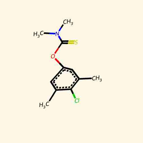 Cc1cc(OC(=S)N(C)C)cc(C)c1Cl